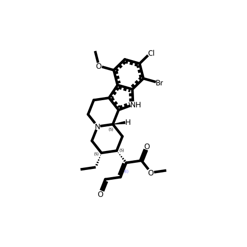 CC[C@@H]1CN2CCc3c([nH]c4c(Br)c(Cl)cc(OC)c34)[C@@H]2C[C@@H]1/C(=C\C=O)C(=O)OC